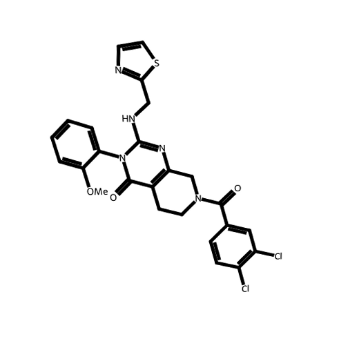 COc1ccccc1-n1c(NCc2nccs2)nc2c(c1=O)CCN(C(=O)c1ccc(Cl)c(Cl)c1)C2